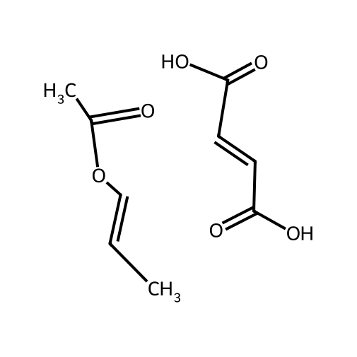 CC=COC(C)=O.O=C(O)C=CC(=O)O